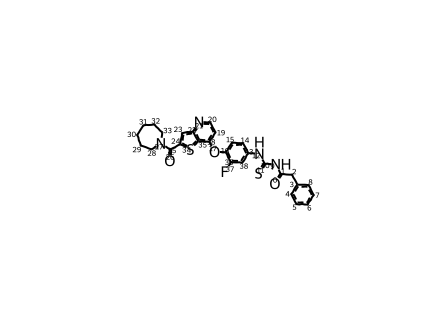 O=C(Cc1ccccc1)NC(=S)Nc1ccc(Oc2ccnc3cc(C(=O)N4CCCCCC4)sc23)c(F)c1